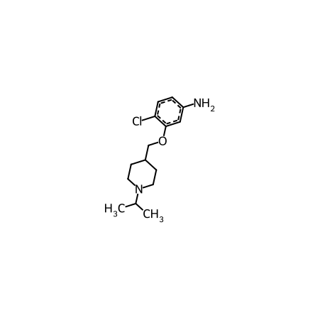 CC(C)N1CCC(COc2cc(N)ccc2Cl)CC1